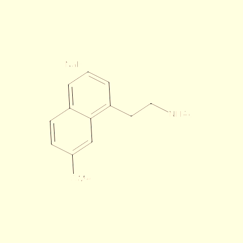 COc1ccc2cccc(CCNC(C)=O)c2c1.[NaH]